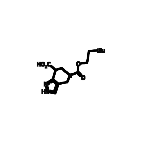 CC(C)(C)CCOC(=O)N1Cc2c[nH]nc2C(C(=O)O)C1